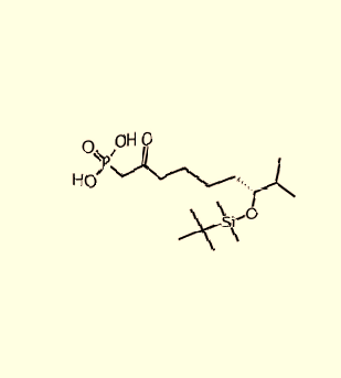 CC(C)[C@@H](CCCCC(=O)CP(=O)(O)O)O[Si](C)(C)C(C)(C)C